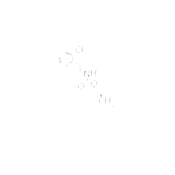 C=CCOC(=O)NCCc1ccccc1Cl